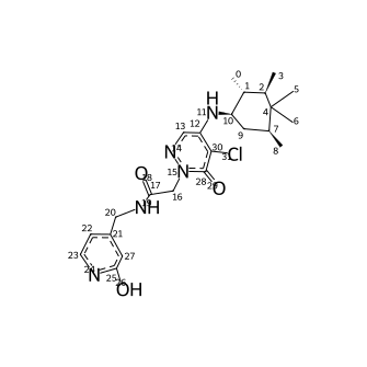 C[C@@H]1[C@@H](C)C(C)(C)[C@@H](C)C[C@H]1Nc1cnn(CC(=O)NCc2ccnc(O)c2)c(=O)c1Cl